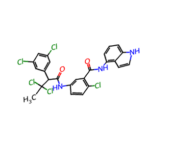 CC(Cl)(Cl)C(C(=O)Nc1ccc(Cl)c(C(=O)Nc2cccc3[nH]ccc23)c1)c1cc(Cl)cc(Cl)c1